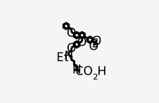 CCN(CCCCCN(C)C(=O)O)CCOc1ccc(Oc2c(-c3ccc(S(C)(=O)=O)cc3)ccc3cc(OCc4ccccc4)ccc23)cc1